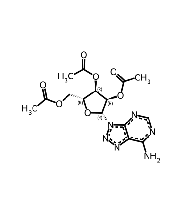 CC(=O)OC[C@H]1O[C@@H](n2nnc3c(N)ncnc32)[C@H](OC(C)=O)[C@@H]1OC(C)=O